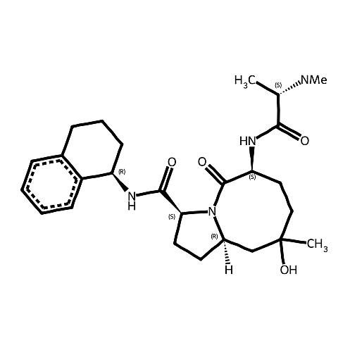 CN[C@@H](C)C(=O)N[C@H]1CCC(C)(O)C[C@H]2CC[C@@H](C(=O)N[C@@H]3CCCc4ccccc43)N2C1=O